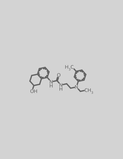 CCN(CCNC(=O)Nc1cccc2c1CC(O)CC2)c1cccc(C)c1